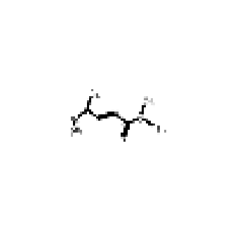 CNC(C)C=CC(=O)N(C)C